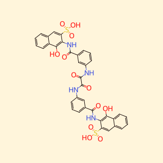 O=C(Nc1cccc(C(=O)Nc2c(S(=O)(=O)O)cc3ccccc3c2O)c1)C(=O)Nc1cccc(C(=O)Nc2c(S(=O)(=O)O)cc3ccccc3c2O)c1